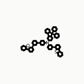 c1ccc(C2(c3ccccc3)c3ccccc3-c3cc(N(c4ccc(-c5cccc(-c6cccc7c6oc6ccccc67)c5)cc4)c4cccc(-c5cccc6c5sc5ccccc56)c4)ccc32)cc1